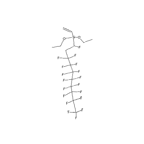 C=C[Si](OCC)(OCC)C(F)CC(F)(F)C(F)(F)C(F)(F)C(F)(F)C(F)(F)C(F)(F)C(F)(F)C(F)(F)F